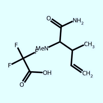 C=CC(C)C(NC)C(N)=O.O=C(O)C(F)(F)F